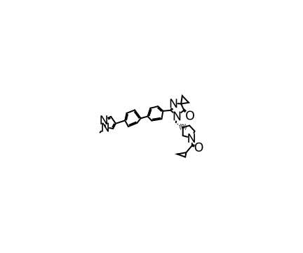 Cn1cc(-c2ccc(-c3ccc(C4=NC5(CC5)C(=O)N4C[C@@H]4CCN(C(=O)C5CC5)C4)cc3)cc2)cn1